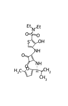 C=C(C)[C@@H](Nc1c(Nc2csc(S(=O)(=O)N(CC)CC)c2O)c(=O)c1=O)c1ccc(C)o1